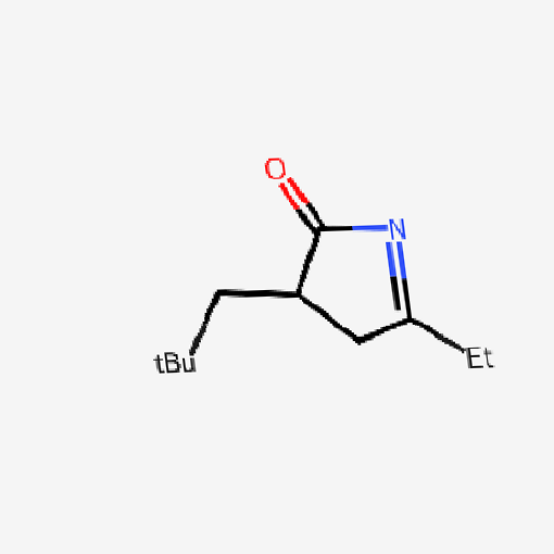 CCC1=NC(=O)C(CC(C)(C)C)C1